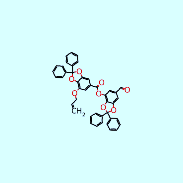 C=CCOc1cc(C(=O)Oc2cc(C=O)cc3c2OC(c2ccccc2)(c2ccccc2)O3)cc2c1OC(c1ccccc1)(c1ccccc1)O2